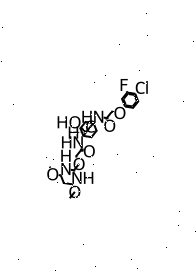 COC1CC(OC)NC(OCC(=O)NC23CCC(NC(=O)COc4ccc(Cl)c(F)c4)(CC2)C[C@@H]3O)N1